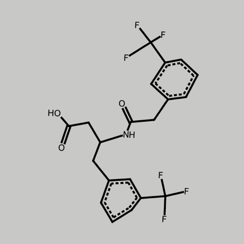 O=C(O)CC(Cc1cccc(C(F)(F)F)c1)NC(=O)Cc1cccc(C(F)(F)F)c1